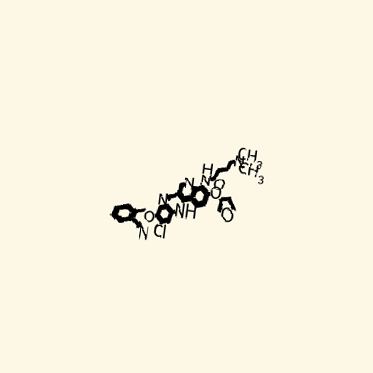 CN(C)C/C=C/C(=O)Nc1c(OC2CCOC2)ccc2c(Nc3ccc(OCc4ccccc4C#N)c(Cl)c3)c(C#N)cnc12